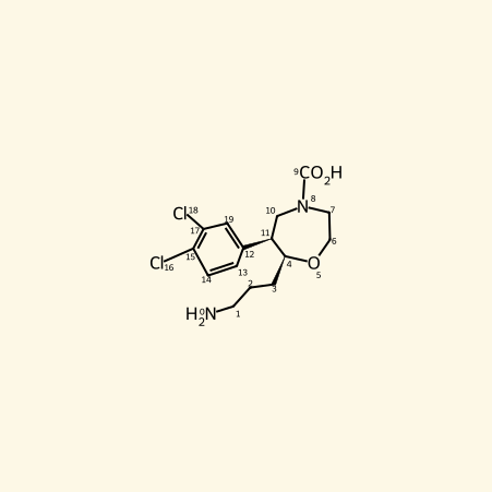 NCCC[C@@H]1OCCN(C(=O)O)C[C@@H]1c1ccc(Cl)c(Cl)c1